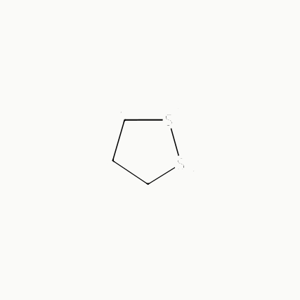 [CH]1CSSC1